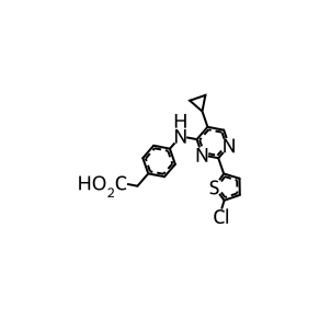 O=C(O)Cc1ccc(Nc2nc(-c3ccc(Cl)s3)ncc2C2CC2)cc1